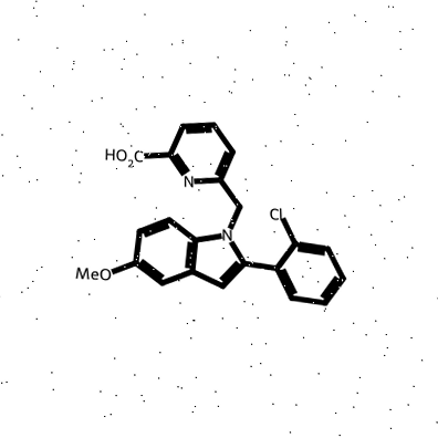 COc1ccc2c(c1)cc(-c1ccccc1Cl)n2Cc1cccc(C(=O)O)n1